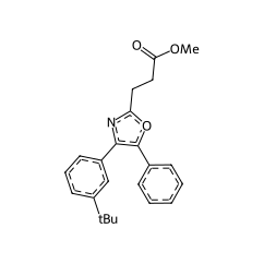 COC(=O)CCc1nc(-c2cccc(C(C)(C)C)c2)c(-c2ccccc2)o1